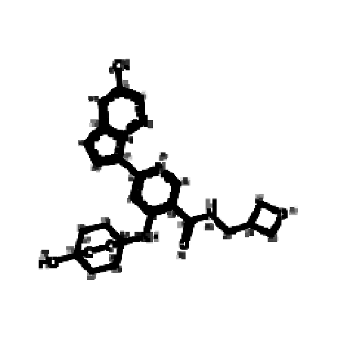 N#Cc1cnn2c(-c3cc(NC45CCC(O)(CC4)CC5)c(C(=O)NCC4COC4)cn3)ccc2c1